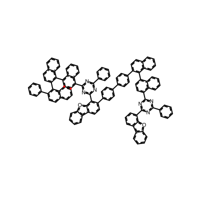 c1ccc(-c2nc(-c3ccc(-c4c(-c5ccc(-c6ccc(-c7ccc8c(oc9ccccc98)c7-c7nc(-c8ccccc8)nc(-c8ccc(-c9c(-c%10c(-c%11ccccc%11)ccc%11ccccc%10%11)ccc%10ccccc9%10)c9ccccc89)n7)cc6)cc5)ccc5ccccc45)c4ccccc34)nc(-c3cccc4c3oc3ccccc34)n2)cc1